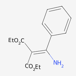 CCOC(=O)C(C(=O)OCC)=C(N)c1ccccc1